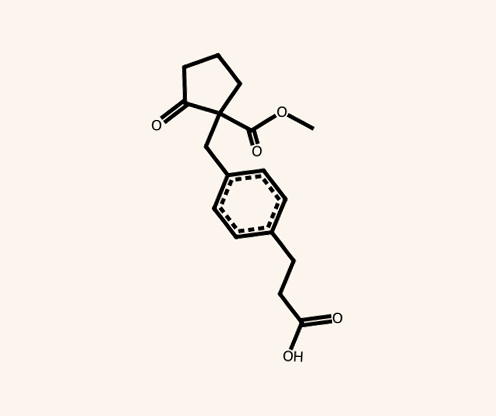 COC(=O)C1(Cc2ccc(CCC(=O)O)cc2)CCCC1=O